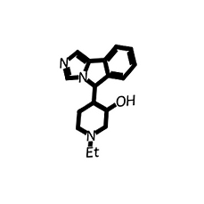 CCN1CCC(C2c3ccccc3-c3cncn32)C(O)C1